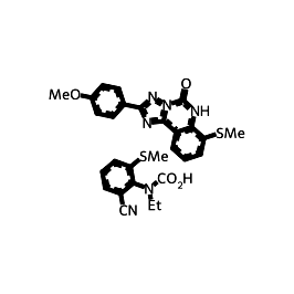 CCN(C(=O)O)c1c(C#N)cccc1SC.COc1ccc(-c2nc3c4cccc(SC)c4[nH]c(=O)n3n2)cc1